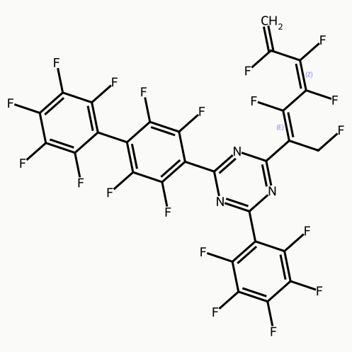 C=C(F)/C(F)=C(F)\C(F)=C(/CF)c1nc(-c2c(F)c(F)c(F)c(F)c2F)nc(-c2c(F)c(F)c(-c3c(F)c(F)c(F)c(F)c3F)c(F)c2F)n1